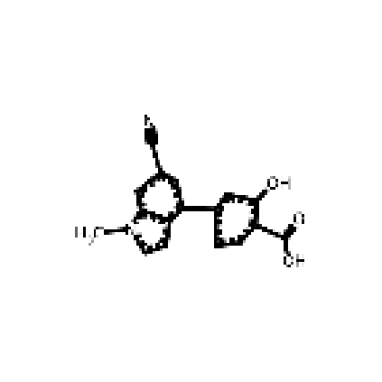 Cn1ccc2c(-c3ccc(C(=O)O)c(O)c3)cc(C#N)cc21